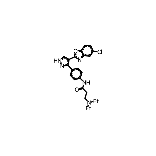 CCN(CC)CCC(=O)Nc1ccc(-c2n[nH]cc2-c2nc3cc(Cl)ccc3o2)cc1